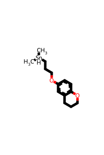 [CH3][SnH]([CH3])[CH2]CCOc1ccc2c(c1)CCCO2